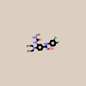 CCCNC(=O)Nc1cc(C(=NO)Nc2ccc(F)c(Br)c2)ccc1N(CC(C)C)CC(C)C